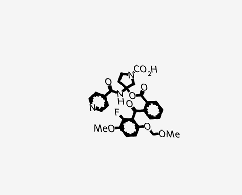 COCOc1ccc(OC)c(F)c1C(=O)c1ccccc1C(=O)OC1(NC(=O)c2ccncc2)CCN(C(=O)O)C1